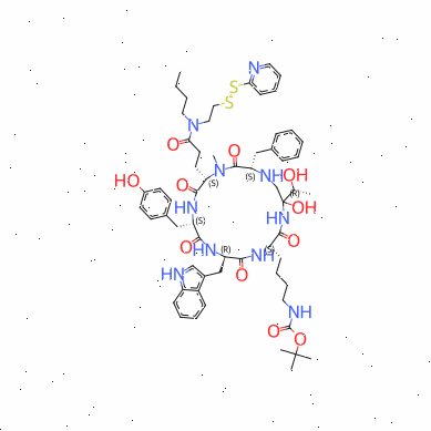 CCCCN(CCSSc1ccccn1)C(=O)CC[C@H]1C(=O)N[C@@H](Cc2ccc(O)cc2)C(=O)N[C@H](Cc2c[nH]c3ccccc23)C(=O)N[C@@H](CCCCNC(=O)OC(C)(C)C)C(=O)NC(O)([C@@H](C)O)CN[C@@H](Cc2ccccc2)C(=O)N1C